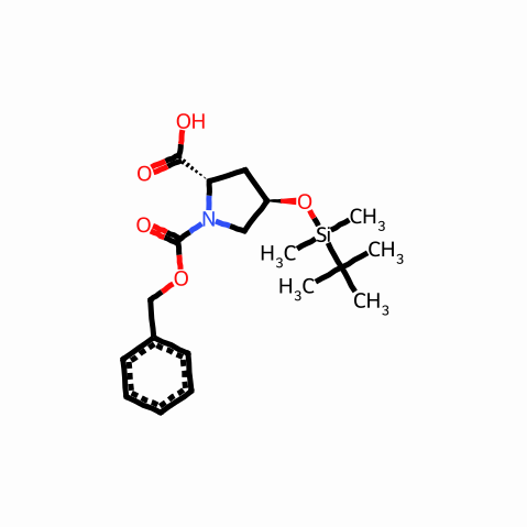 CC(C)(C)[Si](C)(C)O[C@@H]1C[C@@H](C(=O)O)N(C(=O)OCc2ccccc2)C1